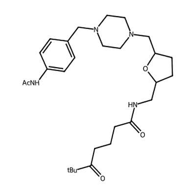 CC(=O)Nc1ccc(CN2CCN(CC3CCC(CNC(=O)CCCC(=O)C(C)(C)C)O3)CC2)cc1